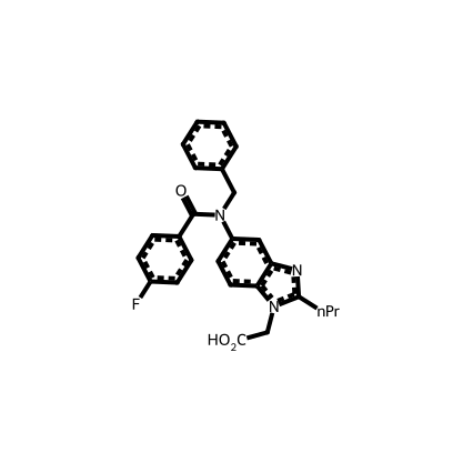 CCCc1nc2cc(N(Cc3ccccc3)C(=O)c3ccc(F)cc3)ccc2n1CC(=O)O